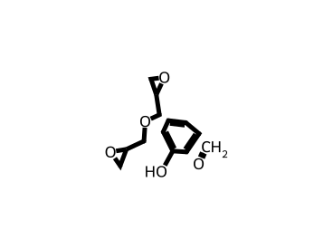 C(OCC1CO1)C1CO1.C=O.Oc1ccccc1